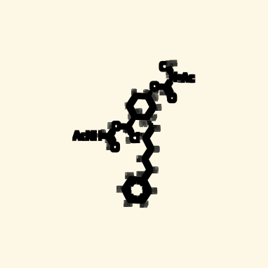 CC(=O)NC(=O)OC(Cl)[C@H]1CC[C@H](OC(=O)N(Cl)C(C)=O)C[C@@H]1CCCCCc1ccccc1